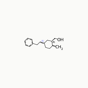 C=C1CC/C(=C\Cc2ccccc2)C[C@H]1CO